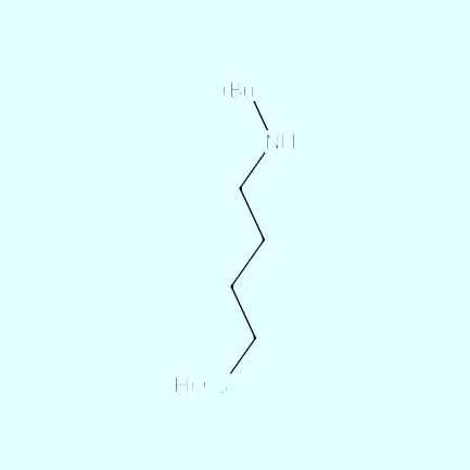 CC(C)(C)NCCCCS(=O)(=O)O